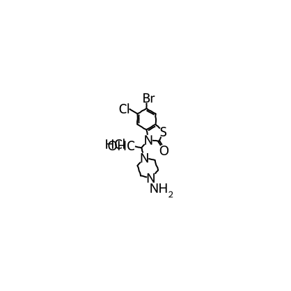 Cl.NN1CCN(C(C=O)n2c(=O)sc3cc(Br)c(Cl)cc32)CC1